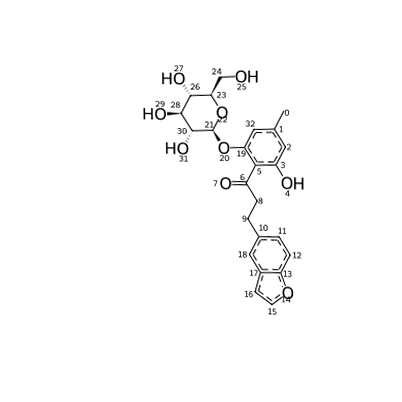 Cc1cc(O)c(C(=O)CCc2ccc3occc3c2)c(O[C@@H]2O[C@H](CO)[C@@H](O)[C@H](O)[C@H]2O)c1